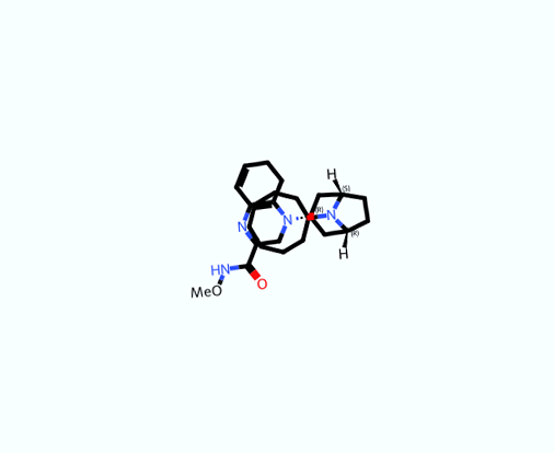 CONC(=O)C1=NC2=C(CCC=C2)N([C@H]2C[C@H]3CC[C@@H](C2)N3C2CCCCCCC2)C1